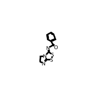 O=C(N=C1SSC2=NCCN21)c1ccccc1